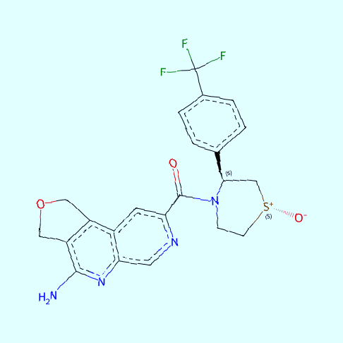 Nc1nc2cnc(C(=O)N3CC[S@@+]([O-])C[C@@H]3c3ccc(C(F)(F)F)cc3)cc2c2c1COC2